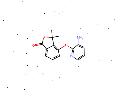 CC1(C)OC(=O)c2cccc(Oc3ncccc3N)c21